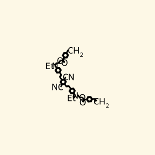 C=Cc1ccc(C(=O)OCCN(CC)c2ccc(/C=C/c3cc(C#N)c(/C=C/c4ccc(N(CC)CCOC(=O)c5ccc(C=C)cc5)cc4)cc3C#N)cc2)cc1